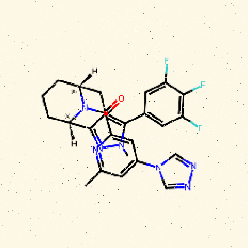 Cc1cc(-n2cnnc2)cc(C(=O)N2[C@@H]3CCC[C@H]2c2nn(C)c(-c4cc(F)c(F)c(F)c4)c2C3)n1